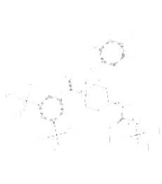 CC(C)(C)NC(=O)N[C@H]1CCN(C(=O)c2cc(C(F)(F)F)cc(C(F)(F)F)c2)[C@H](Cc2ccc(Cl)cc2)C1